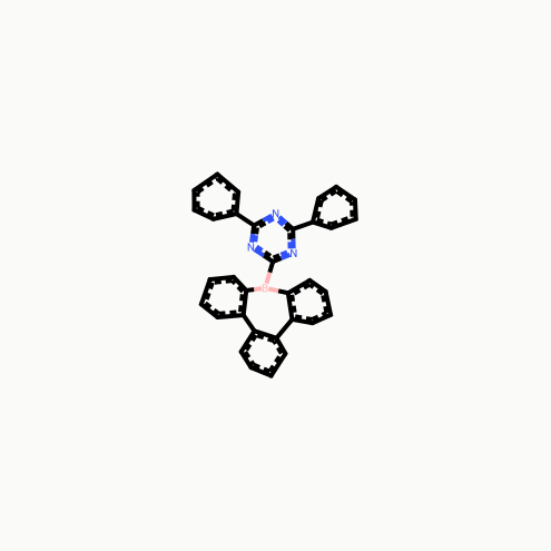 c1ccc(-c2nc(B3c4ccccc4-c4ccccc4-c4ccccc43)nc(-c3ccccc3)n2)cc1